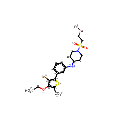 CC(C)OCCS(=O)(=O)N1CCC(Nc2cccc(-c3sc(C(=O)O)c(OCC(=O)O)c3Br)c2)CC1